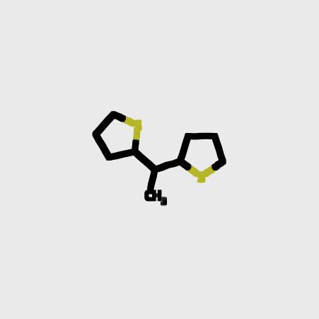 C[C](C1CCCS1)C1CCCS1